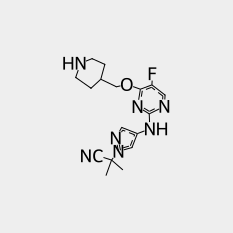 CC(C)(C#N)n1cc(Nc2ncc(F)c(OCC3CCNCC3)n2)cn1